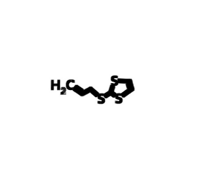 C=CCSC1SC=CS1